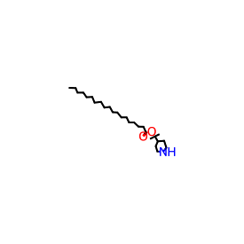 CCCCCCCCCCCCCCCCCCC(=O)OC(C)(C)C1CCNCC1